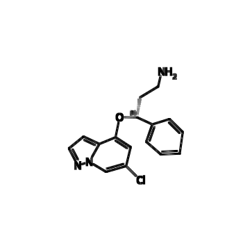 NCC[C@@H](Oc1cc(Cl)cn2nccc12)c1ccccc1